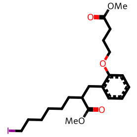 COC(=O)CCCOc1ccccc1CC(CCCCCCI)C(=O)OC